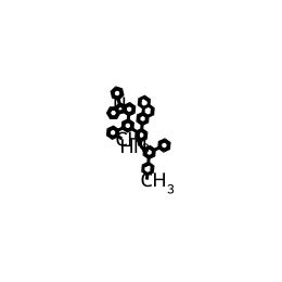 Cc1ccccc1-c1cc(-c2cc(Nc3cc(C4=CCC(C)C=C4)cc(-c4ccccc4)c3)ccc2-c2ccc3c(c2)C=CC2C=CC=CC32)cc(-c2cccc3c2c2ccccc2n3-c2ccccc2)c1